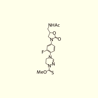 COC(=S)N1CCN(c2ccc(N3CC(CNC(C)=O)OC3=O)cc2F)C=N1